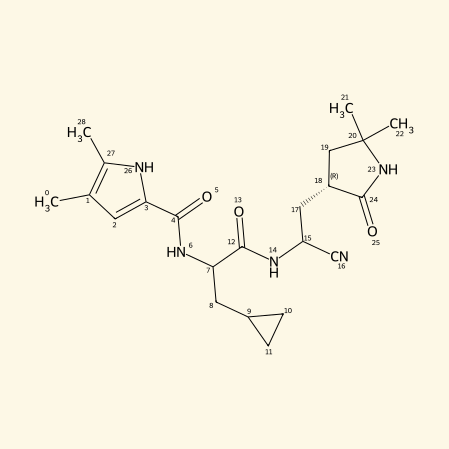 Cc1cc(C(=O)NC(CC2CC2)C(=O)NC(C#N)C[C@@H]2CC(C)(C)NC2=O)[nH]c1C